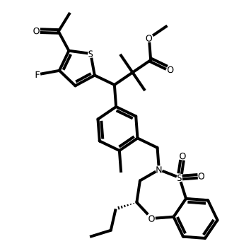 CCC[C@@H]1CN(Cc2cc(C(c3cc(F)c(C(C)=O)s3)C(C)(C)C(=O)OC)ccc2C)S(=O)(=O)c2ccccc2O1